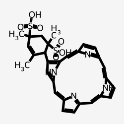 CC1=CC(C)(S(=O)(=O)O)CC(C)(S(=O)(=O)O)C1c1cc2cc3nc(cc4ccc(cc5nc(cc1[nH]2)C=C5)[nH]4)C=C3